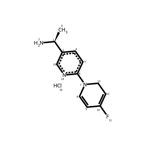 C[C@H](N)c1ccc(N2C=CC(F)=CC2)nc1.Cl